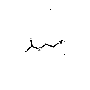 [CH2]CCCCSC(F)F